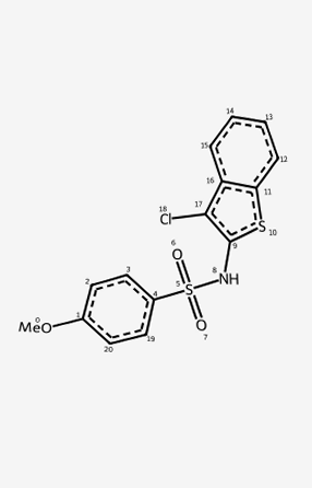 COc1ccc(S(=O)(=O)Nc2sc3ccccc3c2Cl)cc1